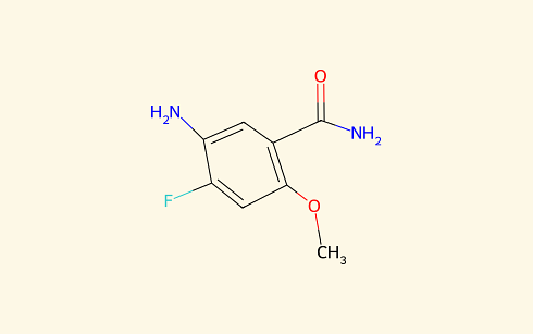 COc1cc(F)c(N)cc1C(N)=O